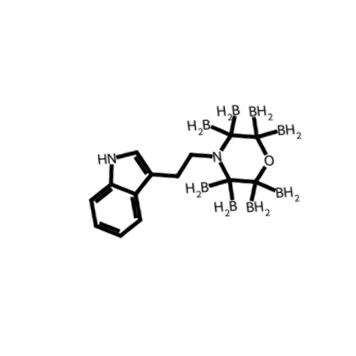 BC1(B)OC(B)(B)C(B)(B)N(CCc2c[nH]c3ccccc23)C1(B)B